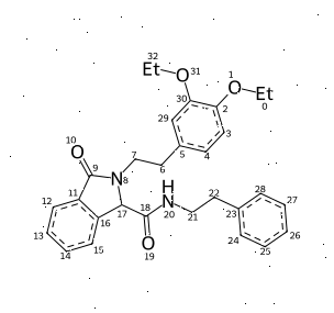 CCOc1ccc(CCN2C(=O)c3ccccc3C2C(=O)NCCc2ccccc2)cc1OCC